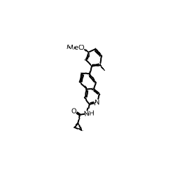 COc1ccc(C)c(-c2ccc3cc(NC(=O)C4CC4)ncc3c2)c1